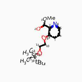 COC(=O)c1ncccc1OCCO[Si](C)(C)C(C)(C)C